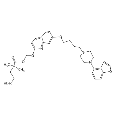 CCCCCCCCCCCCC(C)(C)C(=O)OCOc1ccc2ccc(OCCCCN3CCN(c4cccc5sccc45)CC3)cc2n1